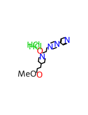 COC(=O)CCC1CCN(C(=O)CCN2CCN(c3ccncc3)CC2)CC1.Cl.Cl